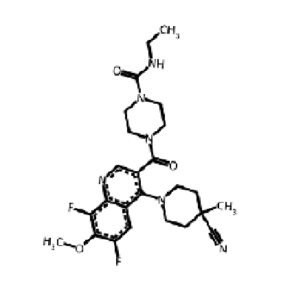 CCNC(=O)N1CCN(C(=O)c2cnc3c(F)c(OC)c(F)cc3c2N2CCC(C)(C#N)CC2)CC1